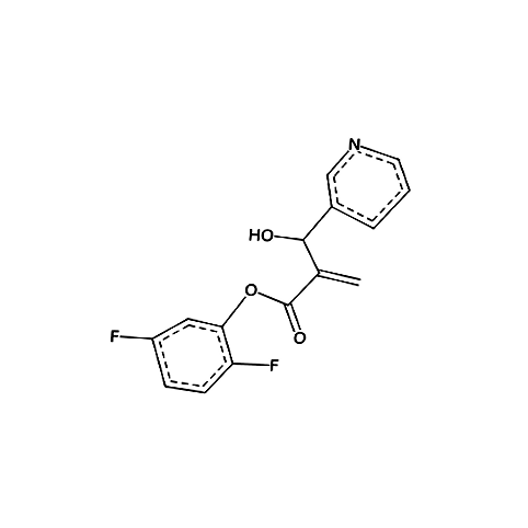 C=C(C(=O)Oc1cc(F)ccc1F)C(O)c1cccnc1